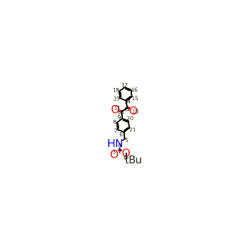 CC(C)(C)OC(=O)NCc1ccc(C(=O)C(=O)c2ccccc2)cc1